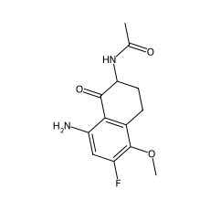 COc1c(F)cc(N)c2c1CCC(NC(C)=O)C2=O